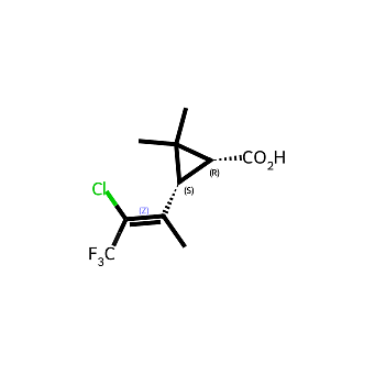 C/C(=C(/Cl)C(F)(F)F)[C@H]1[C@@H](C(=O)O)C1(C)C